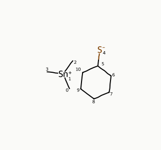 [CH3][Sn+]([CH3])[CH3].[S-]C1CCCCC1